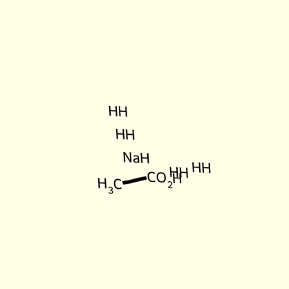 CC(=O)O.[HH].[HH].[HH].[HH].[NaH]